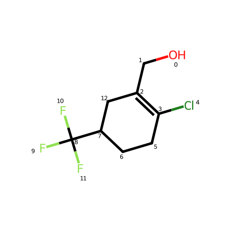 OCC1=C(Cl)CCC(C(F)(F)F)C1